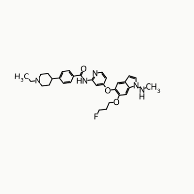 CCN1CCC(c2ccc(C(=O)Nc3cc(Oc4cc5ccn(NC)c5cc4OCCCF)ccn3)cc2)CC1